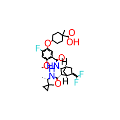 COc1cc(F)c(OC2CCC(C)(C(=O)O)CC2)cc1C(=O)N[C@@H]1[C@H]2CC(=C(F)F)[C@H](C2)[C@@H]1C(=O)N[C@@H](C)C1(C)CC1